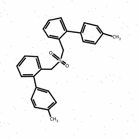 Cc1ccc(-c2ccccc2CS(=O)(=O)Cc2ccccc2-c2ccc(C)cc2)cc1